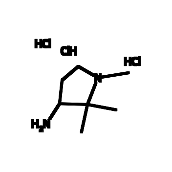 CN1CCC(N)C1(C)C.Cl.Cl.Cl